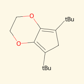 CC(C)(C)C1=C2OCCOC2=C(C(C)(C)C)C1